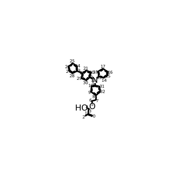 C=C(C)C(O)OCCc1ccc(N(c2ccccc2)c2ccc(-c3ccccc3)cc2)cc1